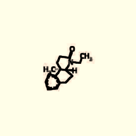 CCN1C(=O)CC[C@]2(C)c3ccccc3CC[C@@H]12